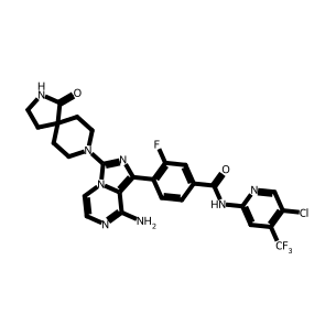 Nc1nccn2c(N3CCC4(CCNC4=O)CC3)nc(-c3ccc(C(=O)Nc4cc(C(F)(F)F)c(Cl)cn4)cc3F)c12